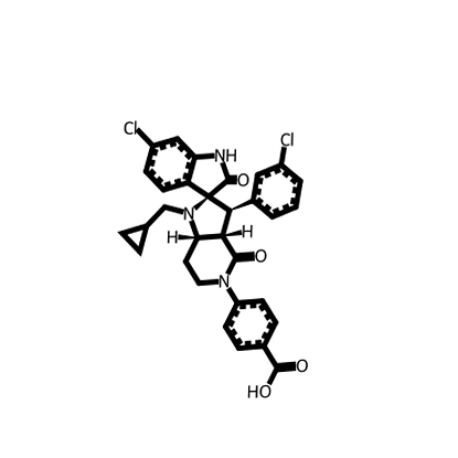 O=C(O)c1ccc(N2CC[C@H]3[C@@H](C2=O)[C@H](c2cccc(Cl)c2)[C@]2(C(=O)Nc4cc(Cl)ccc42)N3CC2CC2)cc1